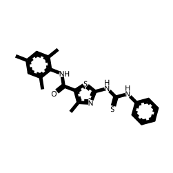 Cc1cc(C)c(NC(=O)c2sc(NC(=S)Nc3ccccc3)nc2C)c(C)c1